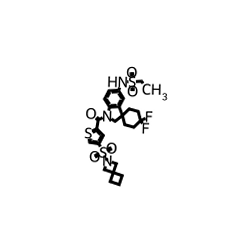 CCS(=O)(=O)Nc1ccc2c(c1)C1(CCC(F)(F)CC1)CN2C(=O)c1cc(S(=O)(=O)N2CC3(CCC3)C2)cs1